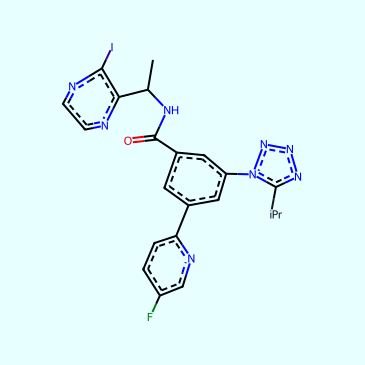 CC(C)c1nnnn1-c1cc(C(=O)NC(C)c2nccnc2I)cc(-c2ccc(F)cn2)c1